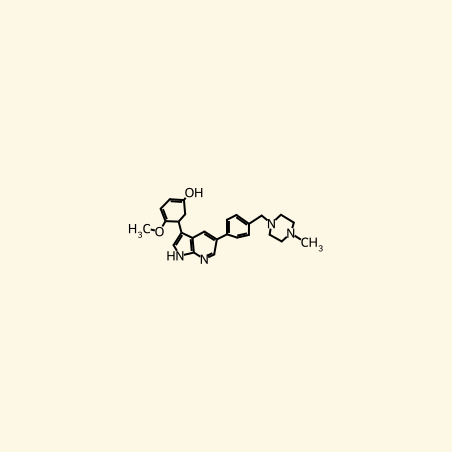 COC1=CC=C(O)CC1c1c[nH]c2ncc(-c3ccc(CN4CCN(C)CC4)cc3)cc12